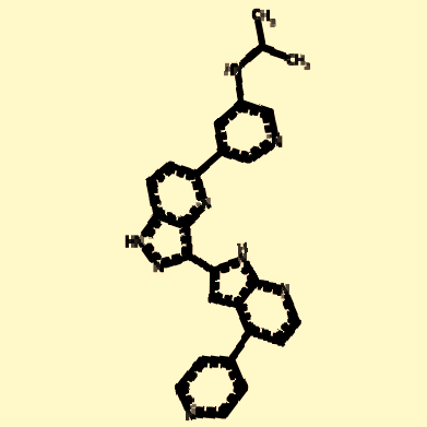 CC(C)Nc1cncc(-c2ccc3[nH]nc(-c4cc5c(-c6ccncc6)ccnc5[nH]4)c3n2)c1